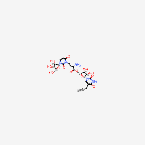 CNCc1cn([C@@H]2O[C@H](COC(=O)C(N)CCn3c(=O)ccn([C@@H]4O[C@H](CO)[C@@H](O)[C@H]4O)c3=O)[C@@H](O)[C@H]2O)c(=O)[nH]c1=O